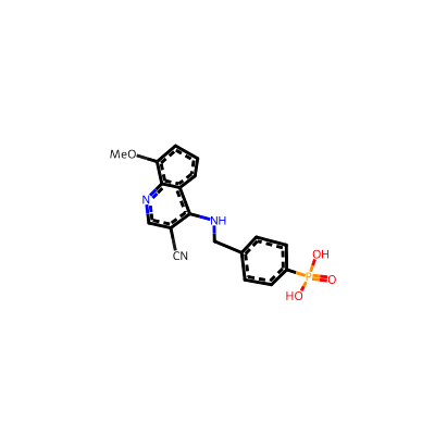 COc1cccc2c(NCc3ccc(P(=O)(O)O)cc3)c(C#N)cnc12